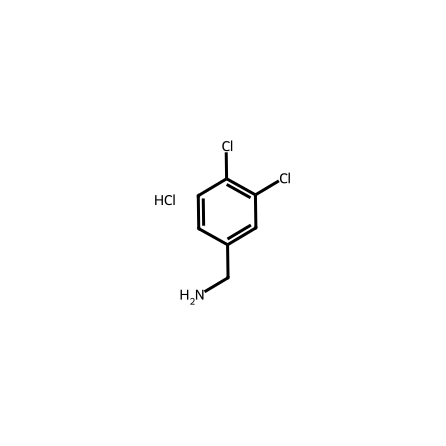 Cl.NCc1ccc(Cl)c(Cl)c1